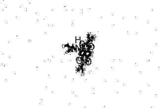 CCN(CC)CCNc1cc2c3c(ccc4c3c1C(=O)N(CCN(CC)CC)C4=O)C(=O)N(CCN(CC)CC)C2=O